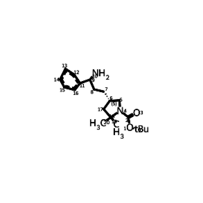 CC(C)(C)OC(=O)N1C[C@@H](CCC(N)c2ccccc2)CC1(C)C